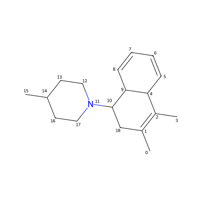 CC1=C(C)C2C=CC=CC2C(N2CCC(C)CC2)C1